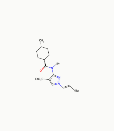 CCOC(=O)c1cn(/C=C/C(C)(C)C)nc1N(C(=O)[C@H]1CC[C@H](C)CC1)C(C)C